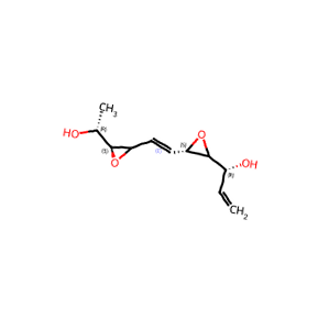 C=C[C@@H](O)C1O[C@H]1/C=C/C1O[C@H]1[C@@H](C)O